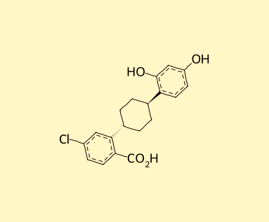 O=C(O)c1ccc(Cl)cc1[C@H]1CC[C@H](c2ccc(O)cc2O)CC1